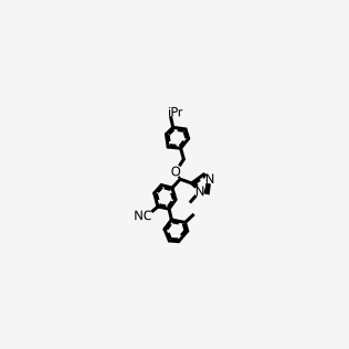 Cc1ccccc1-c1cc([C@@H](OCc2ccc(C(C)C)cc2)c2cncn2C)ccc1C#N